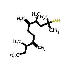 C=C(CCC(=C)C(C)CC(C)(C)S)C(C)CC